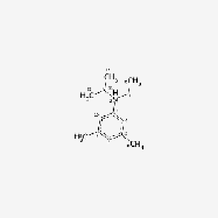 CC[SiH](c1cc(C)cc(C)c1)N(C)C